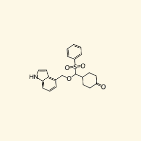 O=C1CCC(C(OCc2cccc3[nH]ccc23)S(=O)(=O)c2ccccc2)CC1